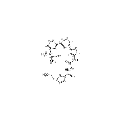 CCCC1C=CC(C(=O)NCC(=O)Nc2nc(-c3cccc(-c4ccnc(N(C)C(C)=O)c4)c3)cs2)=C1